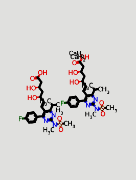 CC(C)c1nc(N(C)S(C)(=O)=O)nc(-c2ccc(F)cc2)c1C=C[C@@H](O)C[C@@H](O)CC(=O)O.CC(C)c1nc(N(C)S(C)(=O)=O)nc(-c2ccc(F)cc2)c1C=C[C@@H](O)C[C@@H](O)CC(=O)O.[CaH2].[CaH2]